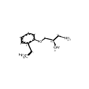 CCc1ccccc1OC[C@H](O)CN